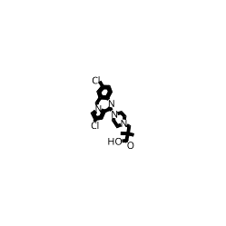 CC(C)(CN1CCN(C2=Nc3ccc(Cl)cc3Cn3cc(Cl)cc32)CC1)C(=O)O